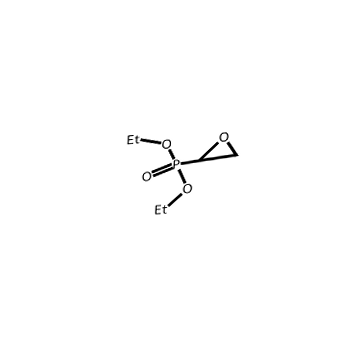 CCOP(=O)(OCC)C1CO1